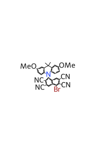 COc1ccc2c(c1)C(C)(C)c1cc(OC)ccc1N2c1c(C#N)c(C#N)cc2c(Br)c(C#N)c(C#N)cc12